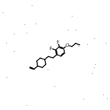 C=CC1CCC(CCc2ccc(OCCC)c(F)c2F)CC1